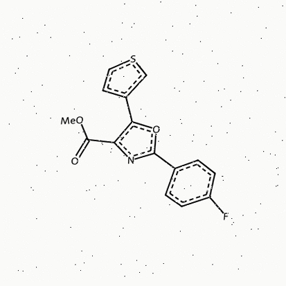 COC(=O)c1nc(-c2ccc(F)cc2)oc1-c1ccsc1